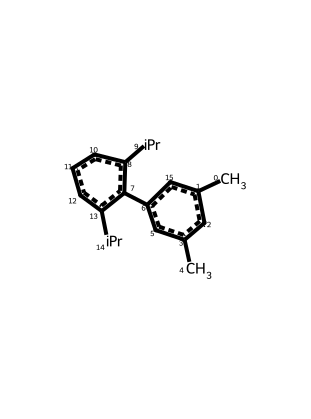 Cc1[c]c(C)cc(-c2c(C(C)C)cccc2C(C)C)c1